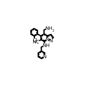 N#Cc1c(-c2ccccc2Cl)c(CN)c2ccnn2c1NCc1cccnc1